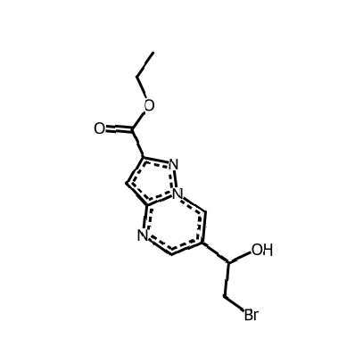 CCOC(=O)c1cc2ncc(C(O)CBr)cn2n1